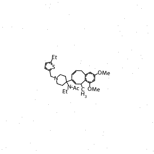 CCc1ccc(CN2CCC(C3=C/C(C)c4c(cc(OC)cc4OC)C/C=C\3)(N(CC)C(C)=O)CC2)s1